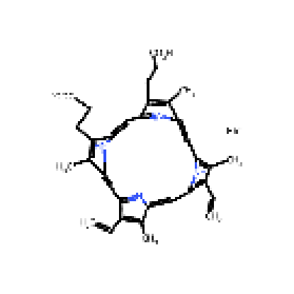 C=CC1=C(C)c2cc3[nH]c(cc4nc(cc5[nH]c(cc1n2)c(C)c5CCC(=O)[O-])C(CCC(=O)O)=C4C)c(C)c3C=C.[Na+]